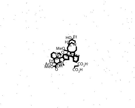 CC[C@]1(O)C[C@@H]2C[N@@](CCc3c([nH]c4ccccc34)[C@@](C(=O)OC)(c3cc4c(cc3OC)N(C)[C@H]3[C@@](O)(C(=O)OC)[C@H](OC(C)=O)[C@]5(CC)C=CCN6CC[C@]43[C@@H]65)C2)C1.O=C(O)CCC(=O)O